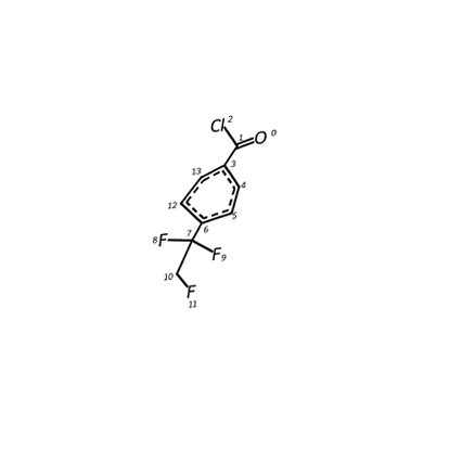 O=C(Cl)c1ccc(C(F)(F)CF)cc1